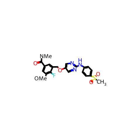 CNC(=O)c1cc(COc2cnc(Nc3ccc(S(C)(=O)=O)cc3)nc2)c(F)c(OC)c1